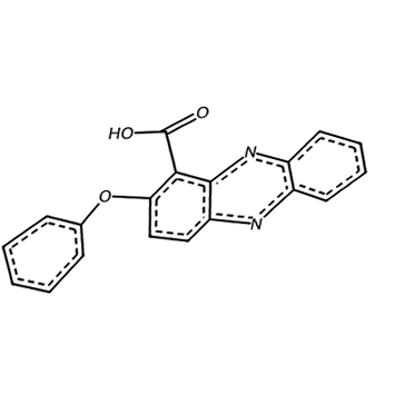 O=C(O)c1c(Oc2ccccc2)ccc2nc3ccccc3nc12